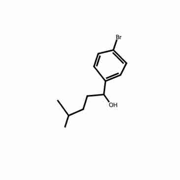 CC(C)CCC(O)c1ccc(Br)cc1